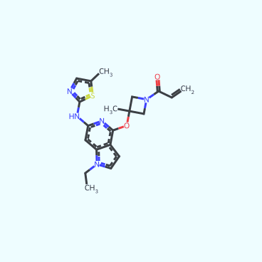 C=CC(=O)N1CC(C)(Oc2nc(Nc3ncc(C)s3)cc3c2ccn3CC)C1